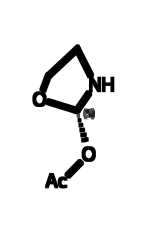 CC(=O)O[C@H]1NCCO1